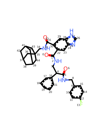 O=C(NCC(C(=O)NCc1ccc(F)cc1)c1ccccc1)c1cc2nc[nH]c2cc1C(=O)NCC12CC3CC(CC(C3)C1)C2